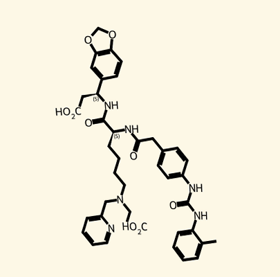 Cc1ccccc1NC(=O)Nc1ccc(CC(=O)N[C@@H](CCCCN(CC(=O)O)Cc2ccccn2)C(=O)N[C@@H](CC(=O)O)c2ccc3c(c2)OCO3)cc1